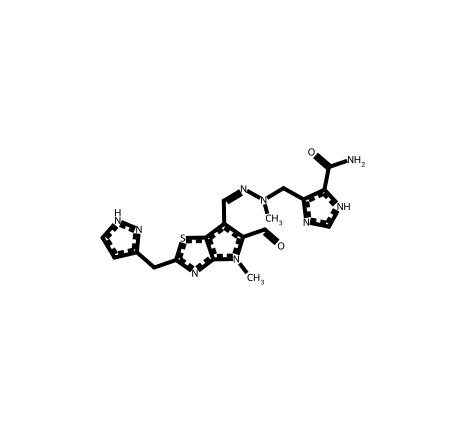 CN(Cc1nc[nH]c1C(N)=O)/N=C\c1c(C=O)n(C)c2nc(Cc3cc[nH]n3)sc12